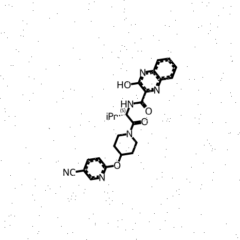 CC(C)[C@H](NC(=O)c1nc2ccccc2nc1O)C(=O)N1CCC(Oc2ccc(C#N)cn2)CC1